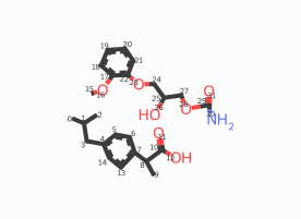 CC(C)Cc1ccc(C(C)C(=O)O)cc1.COc1ccccc1OCC(O)COC(N)=O